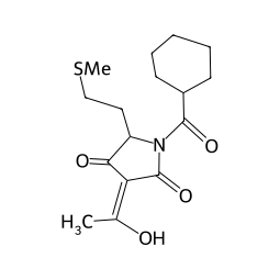 CSCCC1C(=O)/C(=C(\C)O)C(=O)N1C(=O)C1CCCCC1